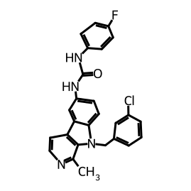 Cc1nccc2c3cc(NC(=O)Nc4ccc(F)cc4)ccc3n(Cc3cccc(Cl)c3)c12